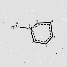 CCC[n+]1ccccc1